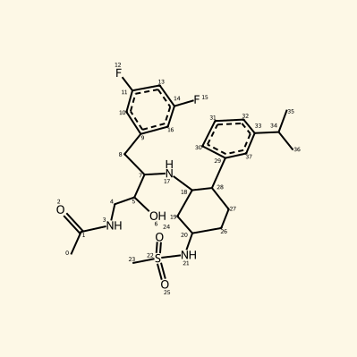 CC(=O)NCC(O)C(Cc1cc(F)cc(F)c1)NC1CC(NS(C)(=O)=O)CCC1c1cccc(C(C)C)c1